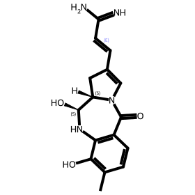 Cc1ccc2c(c1O)N[C@@H](O)[C@@H]1CC(/C=C/C(=N)N)=CN1C2=O